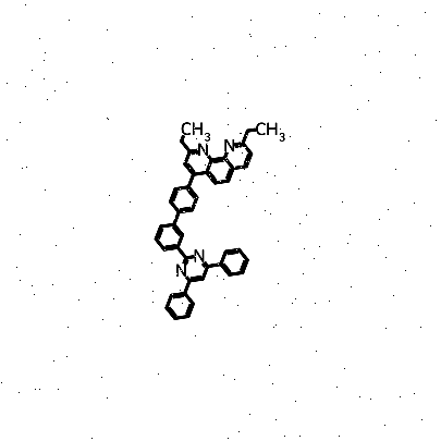 CCc1ccc2ccc3c(-c4ccc(-c5cccc(-c6nc(-c7ccccc7)cc(-c7ccccc7)n6)c5)cc4)cc(CC)nc3c2n1